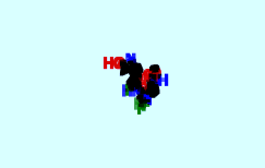 CC(C)(C)OC(=O)NCc1cccc(-n2nc(C(F)(F)F)cc2C(=O)Nc2cc(C(O)c3ccc(C#N)c(C4CC4CO)c3)ccc2F)c1